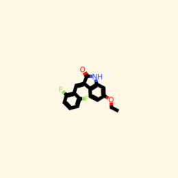 CCOc1ccc2c(c1)NC(=O)/C2=C/c1c(F)cccc1F